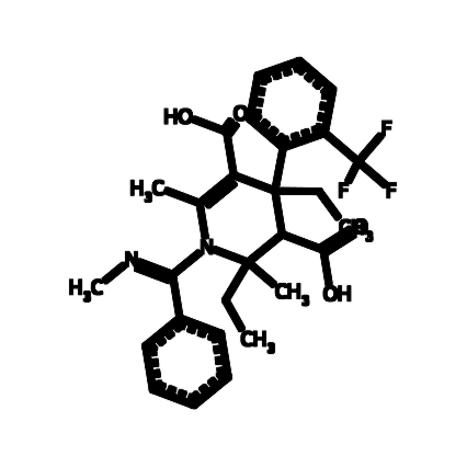 CCC1(c2ccccc2C(F)(F)F)C(C(=O)O)=C(C)N(C(=NC)c2ccccc2)C(C)(CC)C1C(=O)O